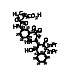 CCCC1(CCC)C(=O)C(C2=NS(=O)(=O)c3cc(NS(=O)(=O)C(C)C(=O)O)ccc3N2)=C(O)c2ccccc21